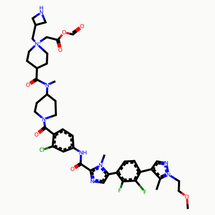 COCCn1ncc(-c2ccc(-c3cnc(C(=O)Nc4ccc(C(=O)N5CCC(N(C)C(=O)C6CC[N+](CC(=O)OC=O)(CC7CNC7)CC6)CC5)c(Cl)c4)n3C)c(F)c2F)c1C